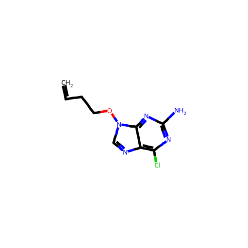 C=CCCOn1cnc2c(Cl)nc(N)nc21